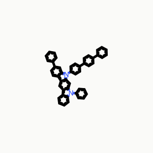 c1ccc(-c2ccc(-c3ccc(-n4c5cc(-c6ccccc6)ccc5c5cc6c7ccccc7n(-c7ccccc7)c6cc54)cc3)cc2)cc1